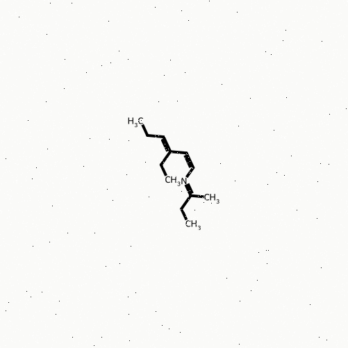 CC/C=C(/C=C\N=C(/C)CC)CC